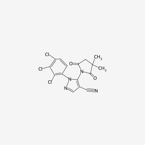 CC1(C)CC(=O)N(c2c(C#N)cnn2-c2ccc(Cl)c(Cl)c2Cl)C1=O